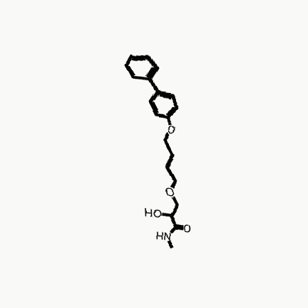 CNC(=O)C(O)COCCCCOc1ccc(-c2ccccc2)cc1